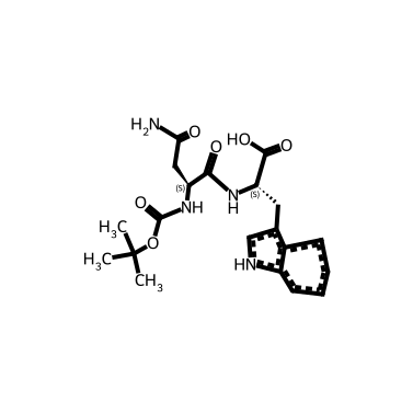 CC(C)(C)OC(=O)N[C@@H](CC(N)=O)C(=O)N[C@@H](Cc1c[nH]c2ccccc12)C(=O)O